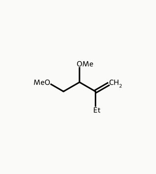 C=C(CC)C(COC)OC